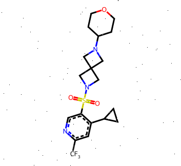 O=S(=O)(c1cnc(C(F)(F)F)cc1C1CC1)N1CC2(CN(C3CCOCC3)C2)C1